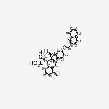 CC(C)(Cc1nc2cc(OCc3ccc4ccccc4n3)ccc2n1Cc1ccccc1Cl)C(=O)O